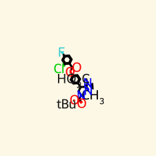 CN(CC(c1ccc(OC(=O)c2ccc(F)cc2Cl)cc1)c1nccn1C(=O)O)C(=O)OC(C)(C)C